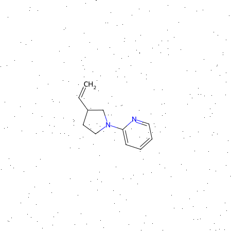 C=CC1CCN(c2ccccn2)C1